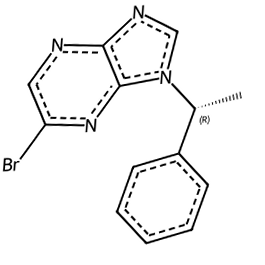 C[C@H](c1ccccc1)n1cnc2ncc(Br)nc21